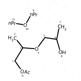 CC(=O)OCC(C)OCC(C)O.CCCOCCC